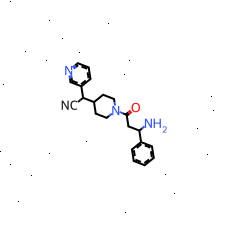 N#CC(c1cccnc1)C1CCN(C(=O)CC(N)c2ccccc2)CC1